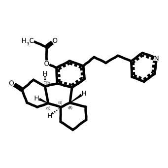 CC(=O)Oc1cc(CCCc2cccnc2)cc2c1[C@@H]1CC(=O)CC[C@H]1[C@@H]1CCCC[C@@H]21